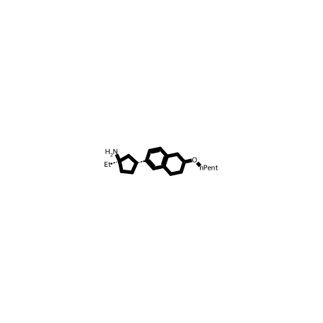 CCCCCOC1CCc2cc([C@@H]3CC[C@](N)(CC)C3)ccc2C1